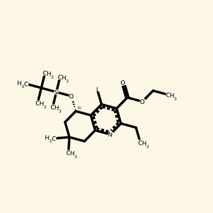 CCOC(=O)c1c(CC)nc2c(c1I)[C@@H](O[Si](C)(C)C(C)(C)C)CC(C)(C)C2